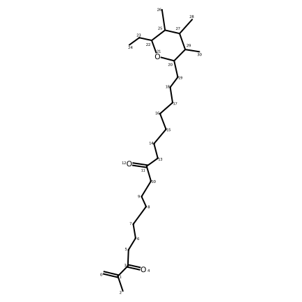 C=C(C)C(=O)CCCCCCC(=O)CCCCCCCC1OC(CC)C(C)C(C)C1C